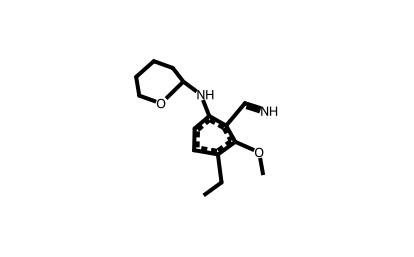 CCc1ccc(NC2CCCCO2)c(C=N)c1OC